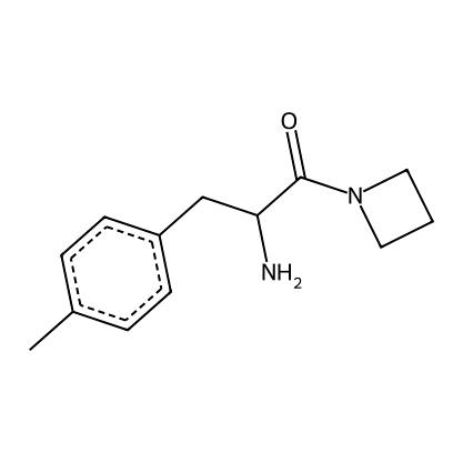 Cc1ccc(CC(N)C(=O)N2CCC2)cc1